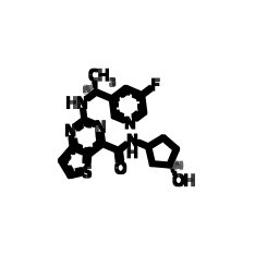 C[C@H](Nc1nc(C(=O)NC2CC[C@H](O)C2)c2sccc2n1)c1cncc(F)c1